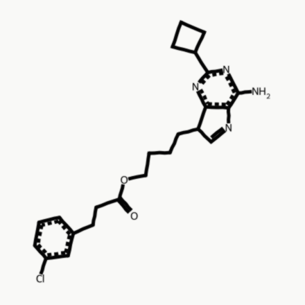 Nc1nc(C2CCC2)nc2c1N=CC2CCCCOC(=O)CCc1cccc(Cl)c1